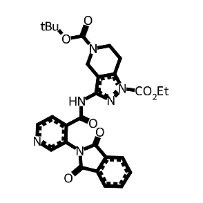 CCOC(=O)n1nc(NC(=O)c2ccncc2N2C(=O)c3ccccc3C2=O)c2c1CCN(C(=O)OC(C)(C)C)C2